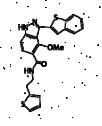 COc1c(C(=O)NCCc2cccs2)ccc2[nH]nc(-c3cc4ccccc4s3)c12